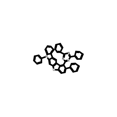 c1ccc(-c2nc(-c3ccccc3)nc(-c3c(-c4ccccc4)ccc4oc5cc6c(cc5c34)c3ccccc3n6-c3ccccc3)n2)cc1